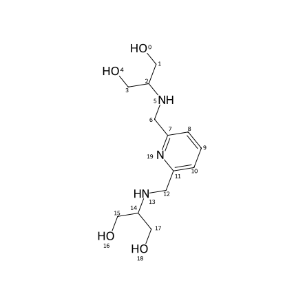 OCC(CO)NCc1cccc(CNC(CO)CO)n1